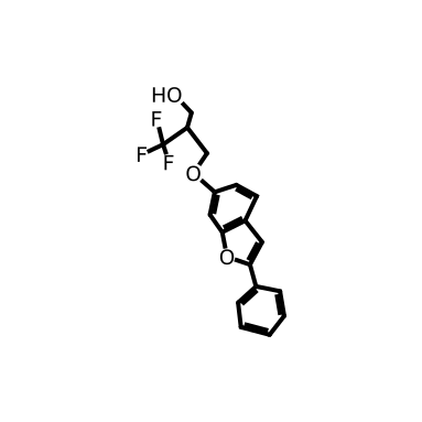 OCC(COc1ccc2cc(-c3ccccc3)oc2c1)C(F)(F)F